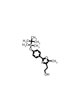 Cc1oc(-c2ccc(O[Si](C)(C)C(C)(C)C)cc2)nc1CCO